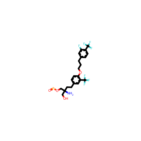 NC(CO)(CCc1ccc(OCCCc2ccc(C(F)(F)F)c(F)c2)c(C(F)(F)F)c1)COP=O